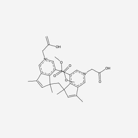 C=C(O)C[n+]1cc(C(=O)OC)c2c(c1)C(C)=CC2(C)CC1(C)C=C(C)c2c[n+](CC(=O)O)cc(C(=O)OC)c21